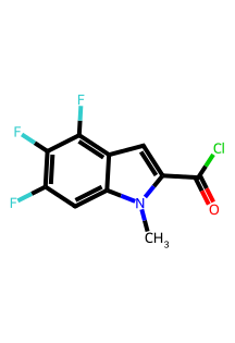 Cn1c(C(=O)Cl)cc2c(F)c(F)c(F)cc21